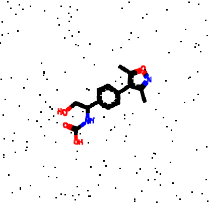 Cc1noc(C)c1-c1ccc(C(CO)NC(=O)O)cc1